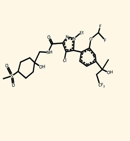 CCn1nc(C(=O)NCC2(O)CCC(S(C)(=O)=O)CC2)c(Cl)c1-c1ccc(C(C)(O)CC(F)(F)F)cc1OC(F)F